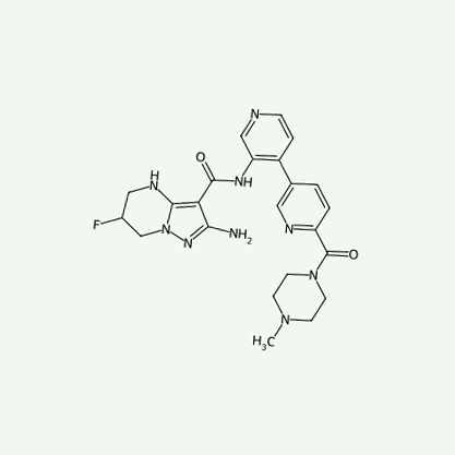 CN1CCN(C(=O)c2ccc(-c3ccncc3NC(=O)c3c(N)nn4c3NCC(F)C4)cn2)CC1